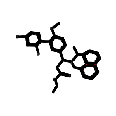 CCOC(=O)CC(c1ccc(OC)c(-c2ccc(F)cc2F)c1)N(Cc1ccccc1)C(C)c1ccccc1